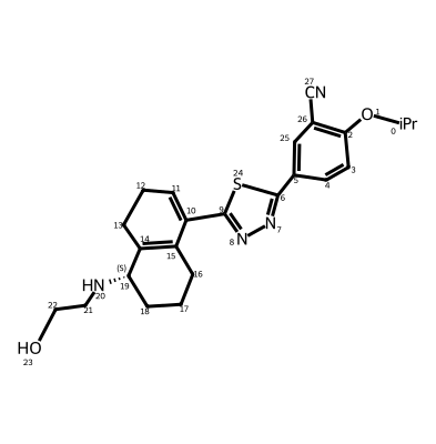 CC(C)Oc1ccc(-c2nnc(C3=CCCC4=C3CCC[C@@H]4NCCO)s2)cc1C#N